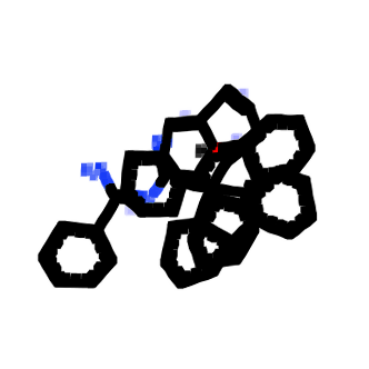 C\C1=C/C=C\C(c2c(C(=N)/N=C(\N)c3ccccc3)c3ccccc3c3ccccc23)=C\c2ccccc2C12c1ccccc1-c1ccccc12